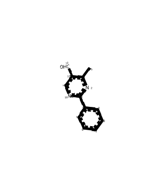 Cc1nc(-c2ccccc2)ncc1C=O